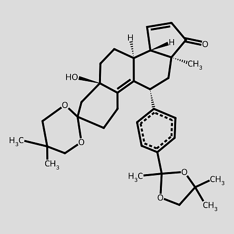 CC1(C)COC2(CCC3=C4[C@@H](CC[C@@]3(O)C2)[C@@H]2C=CC(=O)[C@@]2(C)C[C@@H]4c2ccc(C3(C)OCC(C)(C)O3)cc2)OC1